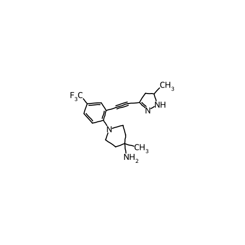 CC1CC(C#Cc2cc(C(F)(F)F)ccc2N2CCC(C)(N)CC2)=NN1